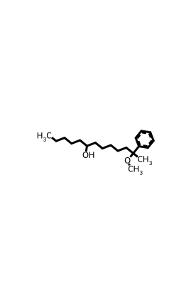 CCCCCC(O)CCCCCC(C)(OC)c1ccccc1